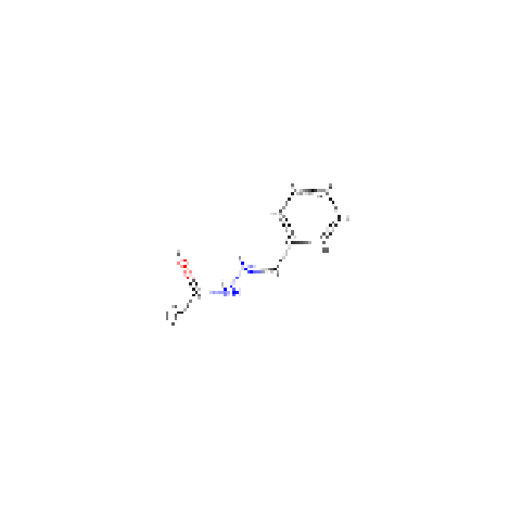 [CH2]C(=O)NN=Cc1ccccc1